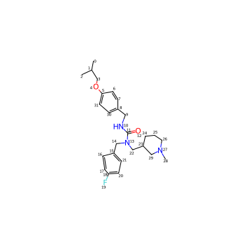 CC(C)COc1ccc(CNC(=O)N(Cc2ccc(F)cc2)CC2CCCN(C)C2)cc1